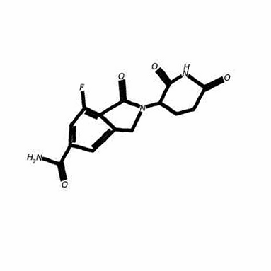 NC(=O)c1cc(F)c2c(c1)CN(C1CCC(=O)NC1=O)C2=O